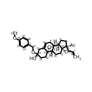 C=CC[C@]1(C(C)=O)CC[C@H]2[C@@H]3CC=C4CC(O)(OCc5ccc(OCC)cc5)CC[C@]4(C)[C@H]3CC[C@@]21C